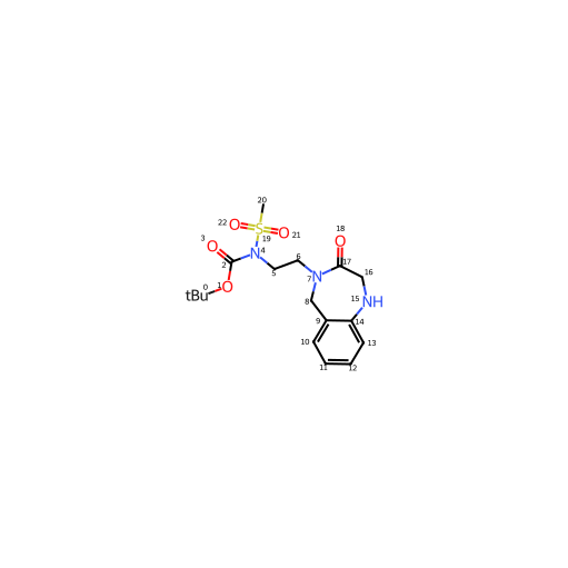 CC(C)(C)OC(=O)N(CCN1Cc2ccccc2NCC1=O)S(C)(=O)=O